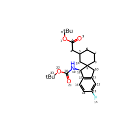 CC(C)(C)OC(=O)CC1CCCC2(Cc3cc(F)ccc3[C@H]2NC(=O)OC(C)(C)C)C1